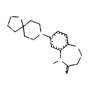 CN1C(=O)[C@@H](N)COc2ccc(N3CCC4(CCCO4)CC3)cc21